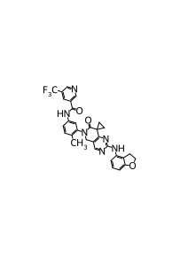 Cc1ccc(NC(=O)c2cncc(C(F)(F)F)c2)cc1N1Cc2cnc(Nc3cccc4c3CCO4)nc2C2(CC2)C1=O